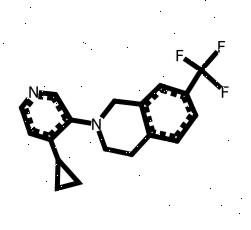 FC(F)(F)c1ccc2c(c1)CN(c1cnccc1C1CC1)CC2